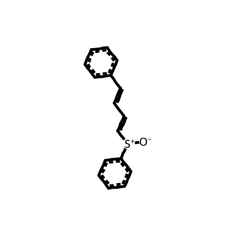 [O-][S+](C=CC=Cc1ccccc1)c1ccccc1